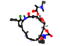 COc1cc2cc(c1Cl)N(C)C(=O)C[C@H](OC(=O)C(C)N(C)C(C)C)C1(C)OC1[C@H](C)C1C[C@@](O)(NC(=O)O1)[C@H](OC)/C=C/C=C(\C)C2